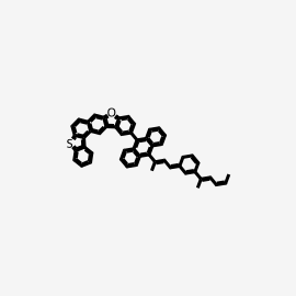 C/C=C\C=C(/C)C1=C/C(=C/C=C(\C)c2c3ccccc3c(-c3ccc4oc5cc6ccc7sc8ccccc8c7c6cc5c4c3)c3ccccc23)CC=C1